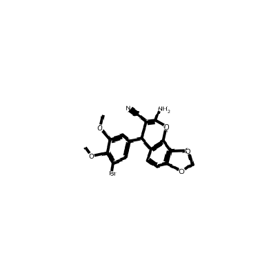 COc1cc(C2C(C#N)=C(N)Oc3c2ccc2c3OCO2)cc(Br)c1OC